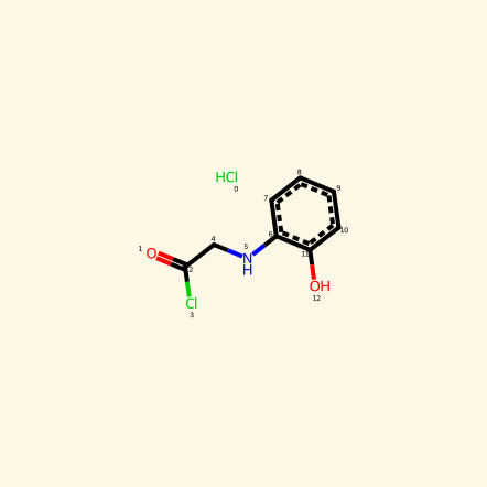 Cl.O=C(Cl)CNc1ccccc1O